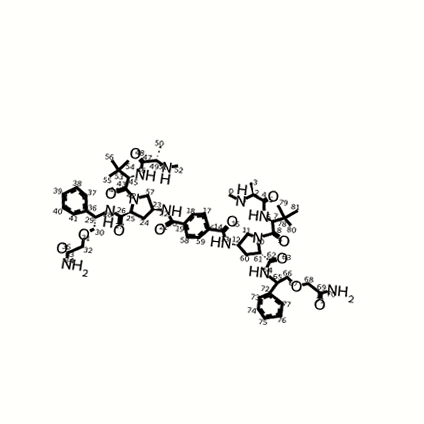 CN[C@@H](C)C(=O)N[C@H](C(=O)N1C[C@@H](NC(=O)c2ccc(C(=O)N[C@H]3C[C@@H](C(=O)N[C@H](COCC(N)=O)c4ccccc4)N(C(=O)[C@@H](NC(=O)[C@H](C)NC)C(C)(C)C)C3)cc2)C[C@H]1C(=O)NC(COCC(N)=O)c1ccccc1)C(C)(C)C